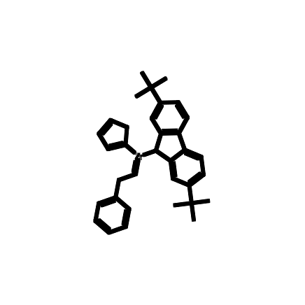 CC(C)(C)c1ccc2c(c1)[CH]([Zr](=[CH]Cc1ccccc1)[C]1=CC=CC1)c1cc(C(C)(C)C)ccc1-2